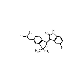 CCN(CC)Cc1ccc2c(c1)C(C)(C)OC2=C1C(=O)Nc2ccc(F)cc21